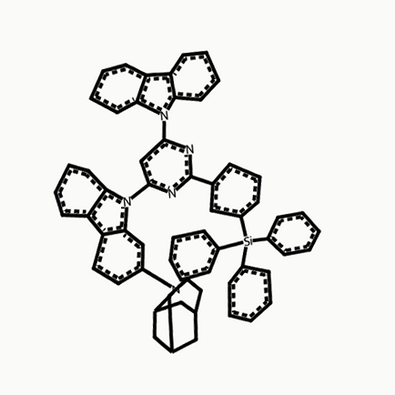 c1ccc([Si](c2ccccc2)(c2ccccc2)c2cccc(-c3nc(-n4c5ccccc5c5ccccc54)cc(-n4c5ccccc5c5ccc(N6C7CC8CC(C7)CC6C8)cc54)n3)c2)cc1